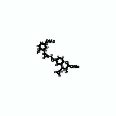 COC(=O)[C@@H](C)[C@H](c1cccc(OC[C@@H]2C[C@H]2c2cc(OC)ncc2F)c1)C1CC1